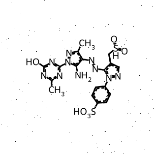 Cc1nc(O)nc(-n2nc(C)c(/N=N/c3c(C[SH](=O)=O)cnn3-c3ccc(S(=O)(=O)O)cc3)c2N)n1